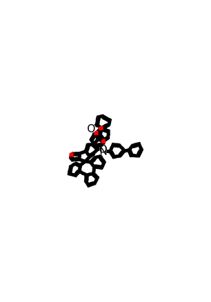 c1ccc(-c2ccc(N(c3ccc4c(c3)C3(c5ccccc5-c5ccccc5-4)c4ccccc4-c4cc5c(cc43)oc3ccccc35)c3ccc4oc5ccccc5c4c3)cc2)cc1